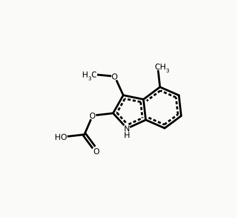 COc1c(OC(=O)O)[nH]c2cccc(C)c12